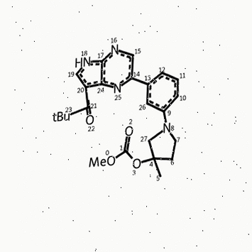 COC(=O)OC1(C)CCN(c2cccc(-c3cnc4[nH]cc(C(=O)C(C)(C)C)c4n3)c2)C1